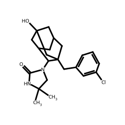 CC1(C)CN(C2C3CC4CC(O)(C3)CC2(Cc2cccc(Cl)c2)C4)C(=O)N1